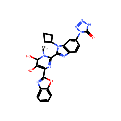 CN1C(c2nc3ccc(-n4nn[nH]c4=O)cc3n2C2CCC2)=NC(c2nc3ccccc3o2)=C(O)C1O